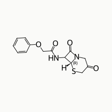 O=C1CS[C@@H]2C(NC(=O)COc3ccccc3)C(=O)N2C1